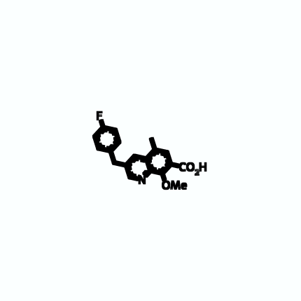 COc1c(C(=O)O)cc(C)c2cc(Cc3ccc(F)cc3)cnc12